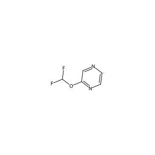 FC(F)Oc1cn[c]cn1